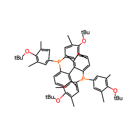 Cc1cc(P(c2cc(C)c(OC(C)(C)C)c(C)c2)c2cccc(C)c2-c2c(C)cccc2P(c2cc(C)c(OC(C)(C)C)c(C)c2)c2cc(C)c(OC(C)(C)C)c(C)c2)cc(C)c1OC(C)(C)C